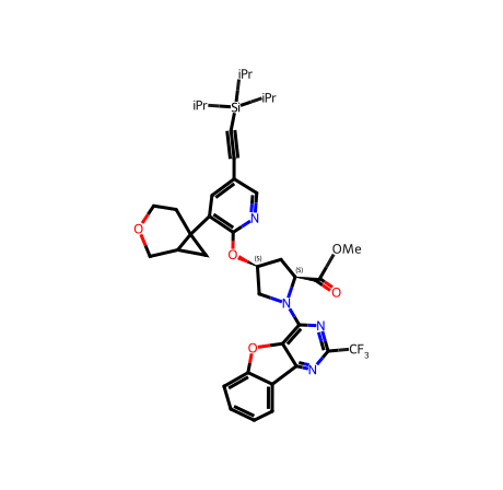 COC(=O)[C@@H]1C[C@H](Oc2ncc(C#C[Si](C(C)C)(C(C)C)C(C)C)cc2C23CCOCC2C3)CN1c1nc(C(F)(F)F)nc2c1oc1ccccc12